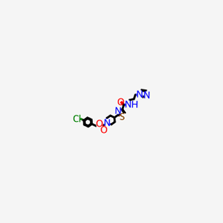 O=C(NCCCn1ccnc1)c1csc(C2CCN(C(=O)OCc3ccc(Cl)cc3)CC2)n1